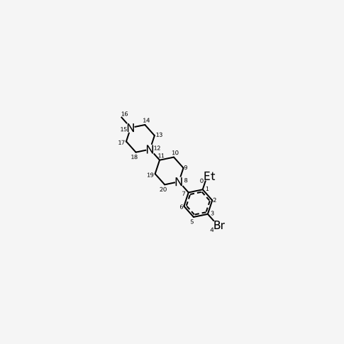 CCc1cc(Br)ccc1N1CCC(N2CCN(C)CC2)CC1